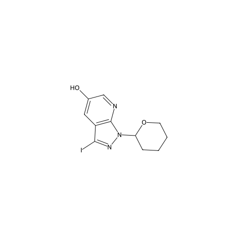 Oc1cnc2c(c1)c(I)nn2C1CCCCO1